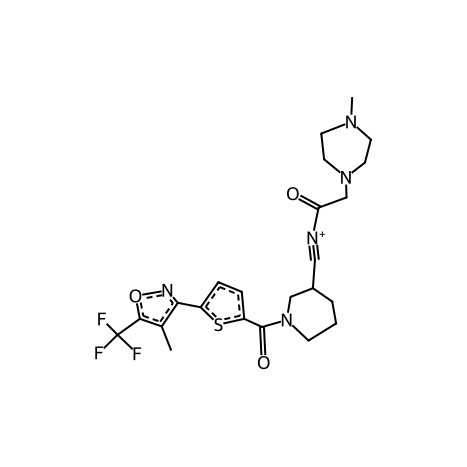 Cc1c(-c2ccc(C(=O)N3CCCC(C#[N+]C(=O)CN4CCN(C)CC4)C3)s2)noc1C(F)(F)F